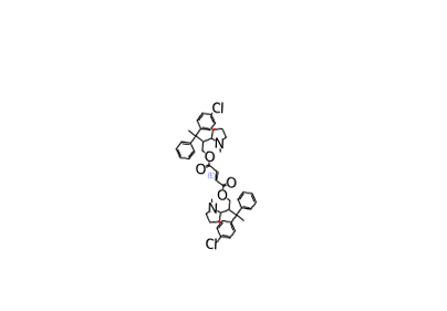 CN1CCCC1C(COC(=O)/C=C/C(=O)OCC(C1CCCN1C)C(C)(c1ccccc1)c1ccc(Cl)cc1)C(C)(c1ccccc1)c1ccc(Cl)cc1